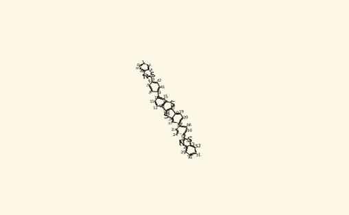 c1ccc2sc(-c3ccc(-c4ccc5c(c4)sc4c6ccc(-c7ccc(-c8nc9ccccc9s8)cc7)cc6sc54)cc3)nc2c1